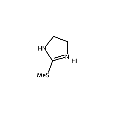 CSC1=NCCN1.I